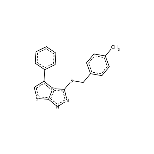 Cc1ccc(CSc2nnc3scc(-c4ccccc4)n23)cc1